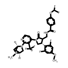 COc1cc(F)c([C@@H]2CN(c3ccnc(N4C[C@@H]5C[C@H]4CN5C)c3C(F)(F)F)C(=O)C2CNC(=O)c2ccc(OC(F)F)cc2)c(F)c1